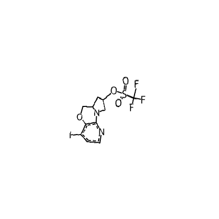 O=S(=O)(OC1CC2COc3c(I)ccnc3N2C1)C(F)(F)F